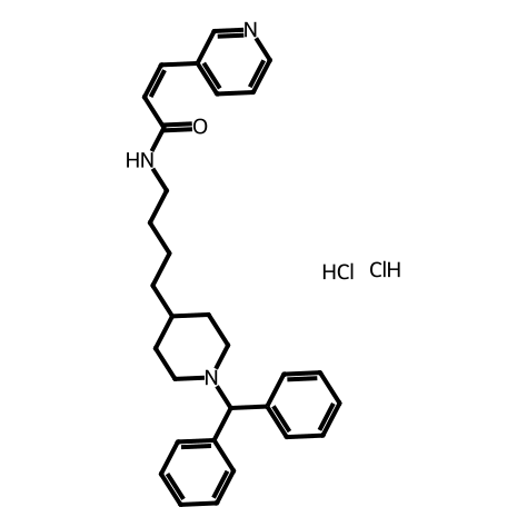 Cl.Cl.O=C(/C=C\c1cccnc1)NCCCCC1CCN(C(c2ccccc2)c2ccccc2)CC1